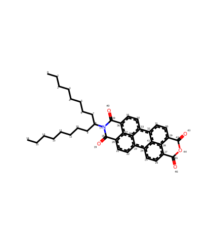 CCCCCCCCC(CCCCCCCC)N1C(=O)c2ccc3c4ccc5c6c(ccc(c7ccc(c2c37)C1=O)c64)C(=O)OC5=O